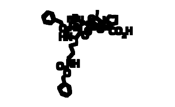 CCCCC(NC(=O)[C@H](CCCCNC(=O)OCc1ccccc1)NC(=O)OCc1ccccc1)P(=O)(OC)O[C@@H](C)C(=O)N1CCC[C@H]1C(=O)O